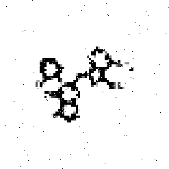 Bc1nn(Cc2nc3scc(C)c3c(=O)n2-c2ccccc2CC)c2ncnc(N)c12